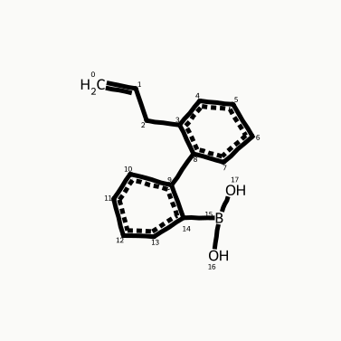 C=CCc1ccccc1-c1ccccc1B(O)O